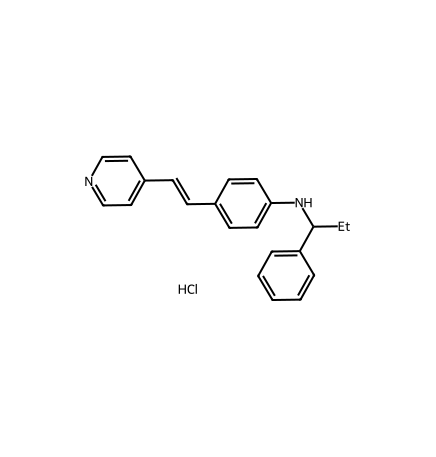 CCC(Nc1ccc(C=Cc2ccncc2)cc1)c1ccccc1.Cl